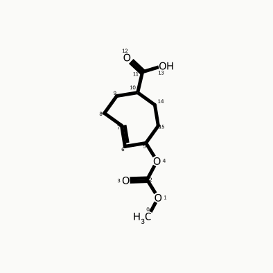 COC(=O)OC1/C=C/CCC(C(=O)O)CC1